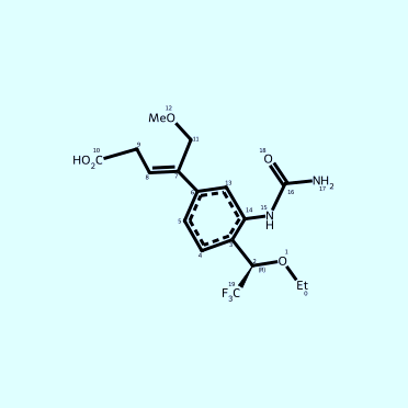 CCO[C@H](c1ccc(C(=CCC(=O)O)COC)cc1NC(N)=O)C(F)(F)F